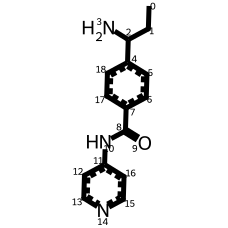 CCC(N)c1ccc(C(=O)Nc2ccncc2)cc1